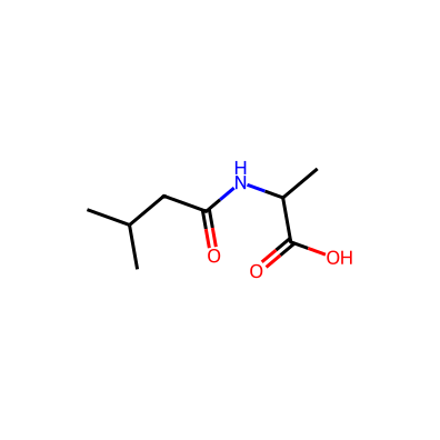 CC(C)CC(=O)NC(C)C(=O)O